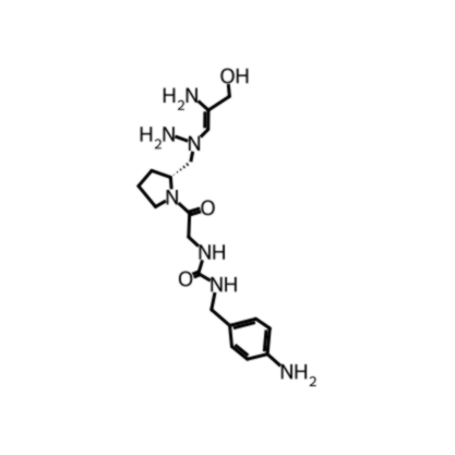 N/C(=C\N(N)C[C@H]1CCCN1C(=O)CNC(=O)NCc1ccc(N)cc1)CO